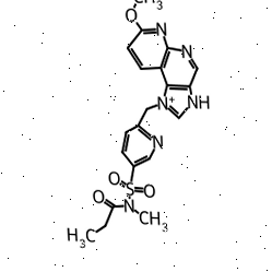 CCC(=O)N(C)S(=O)(=O)c1ccc(C[n+]2c[nH]c3cnc4nc(OC)ccc4c32)nc1